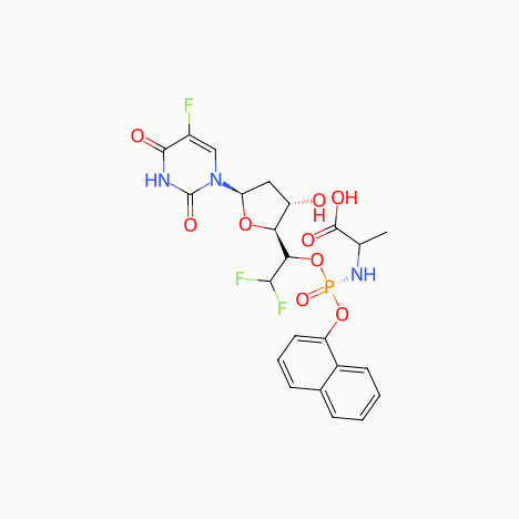 CC(N[P@@](=O)(Oc1cccc2ccccc12)OC(C(F)F)[C@H]1O[C@@H](n2cc(F)c(=O)[nH]c2=O)C[C@@H]1O)C(=O)O